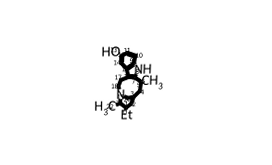 CCC1CC2CC(C)c3[nH]c4ccc(O)cc4c3CCN(C2)C1C